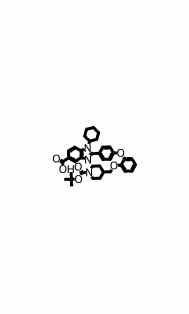 CC(C)(C)OC(=O)N1CCC(COc2ccccc2Oc2ccc(-c3nc4cc(C(=O)O)ccc4n3C3CCCCC3)cc2)CC1